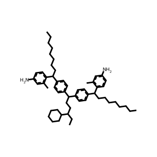 CCCCCCCCC(c1ccc(C(CCC(CC)C2CCCCC2)c2ccc(C(CCCCCCCC)c3ccc(N)cc3C)cc2)cc1)c1ccc(N)cc1C